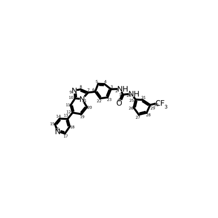 O=C(Nc1ccc(-c2cnc3cc(-c4ccncc4)ccn23)cc1)Nc1cccc(C(F)(F)F)c1